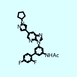 CC(=O)Nc1cc(-c2ccc(F)cc2F)cc(-n2cnc3cc(-c4cnn(C5CCCC5)c4)cnc32)c1